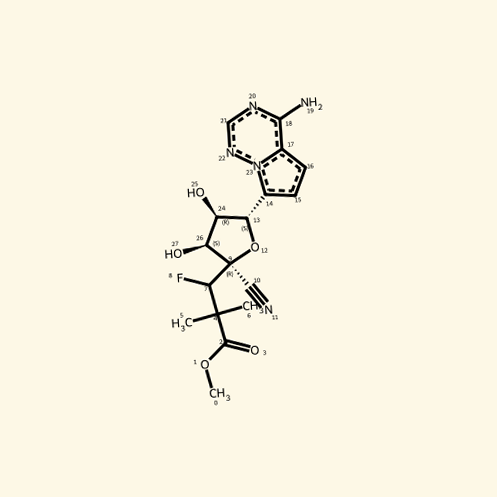 COC(=O)C(C)(C)C(F)[C@]1(C#N)O[C@@H](c2ccc3c(N)ncnn23)[C@H](O)[C@@H]1O